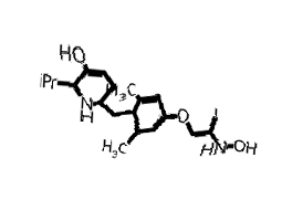 CC1=CC(OCC(I)NO)=CC(C)C1CC1CC=C(O)C(C(C)C)N1